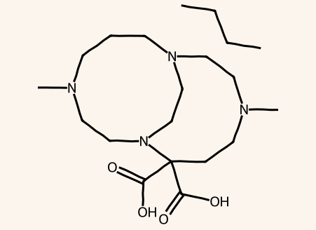 CCCC.CN1CCCN2CCN(C)CCC(C(=O)O)(C(=O)O)N(CC1)CC2